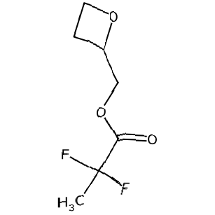 CC(F)(F)C(=O)OCC1CCO1